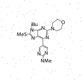 CCC(C)n1c(SC)nc2c(-c3cnc(NC)nc3)nc(N3CCOCC3)nc21